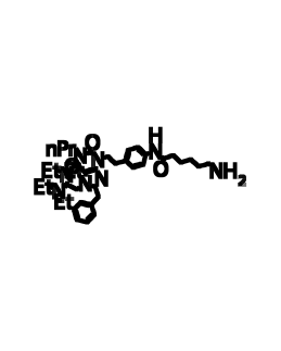 CCCn1c(=O)c2c(nc(Cc3ccccc3)n2CC(N(CC)CC)N(CC)CC)n(CCc2ccc(NC(=O)CCCCCN)cc2)c1=O